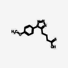 COc1ccc(-n2nnnc2CCCC(O)=S)cc1